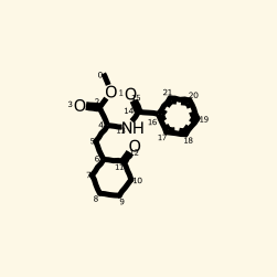 COC(=O)C(CC1CCCCC1=O)NC(=O)c1ccccc1